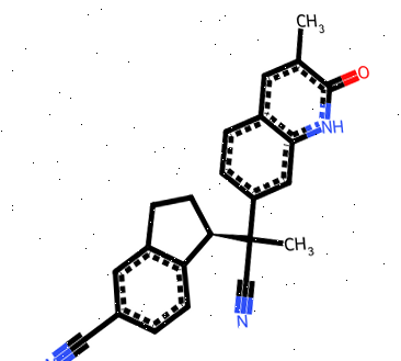 Cc1cc2ccc(C(C)(C#N)[C@@H]3CCc4cc(C#N)ccc43)cc2[nH]c1=O